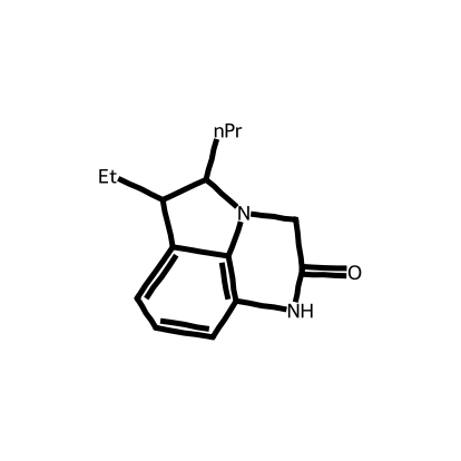 CCCC1C(CC)c2cccc3c2N1CC(=O)N3